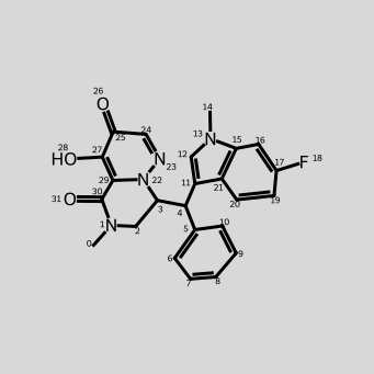 CN1CC(C(c2ccccc2)c2cn(C)c3cc(F)ccc23)n2ncc(=O)c(O)c2C1=O